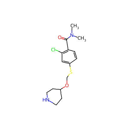 CN(C)C(=O)c1ccc(SCOC2CCNCC2)cc1Cl